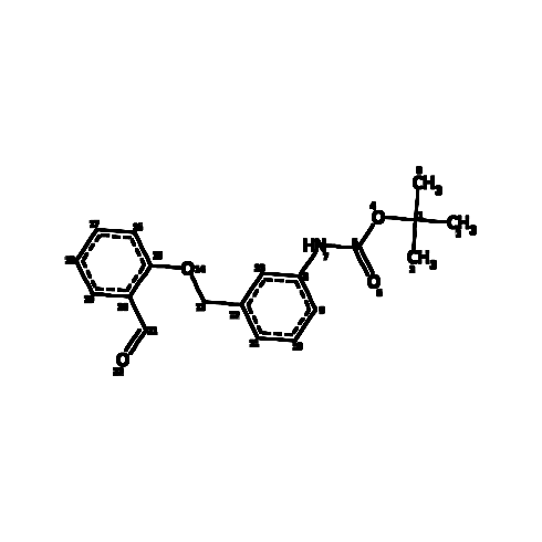 CC(C)(C)OC(=O)Nc1cccc(COc2ccccc2C=O)c1